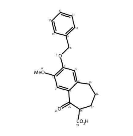 COc1cc2c(cc1OCc1ccccc1)CCCC(C(=O)O)C2=O